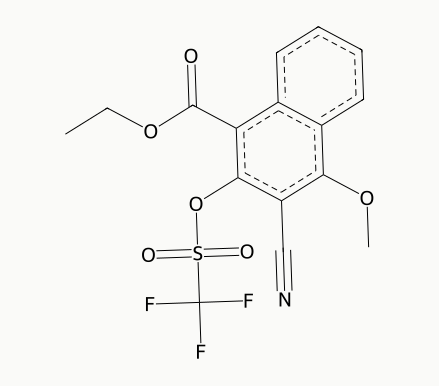 CCOC(=O)c1c(OS(=O)(=O)C(F)(F)F)c(C#N)c(OC)c2ccccc12